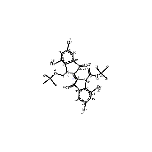 CC(C)(C)OCN1/C(=C2\C(=O)c3cc(Br)cc(Br)c3N2C(=O)OC(C)(C)C)C(=O)c2cc(Br)cc(Br)c21